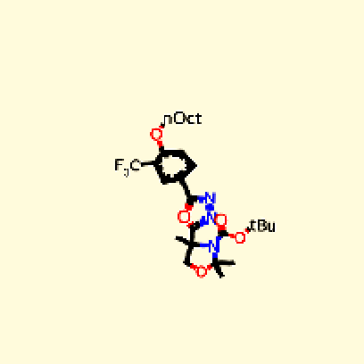 CCCCCCCCOc1ccc(-c2nnc(C3(C)COC(C)(C)N3C(=O)OC(C)(C)C)o2)cc1C(F)(F)F